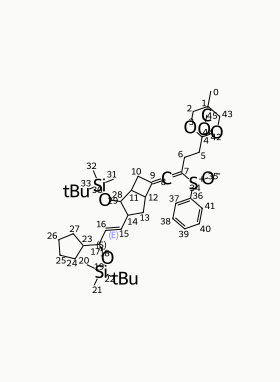 CC12COC(CCC(=C=C3CC4C3CC(/C=C/[C@@H](O[Si](C)(C)C(C)(C)C)C3CCCC3)C4O[Si](C)(C)C(C)(C)C)[S+]([O-])c3ccccc3)(OC1)OC2